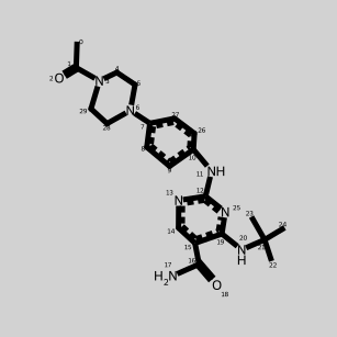 CC(=O)N1CCN(c2ccc(Nc3ncc(C(N)=O)c(NC(C)(C)C)n3)cc2)CC1